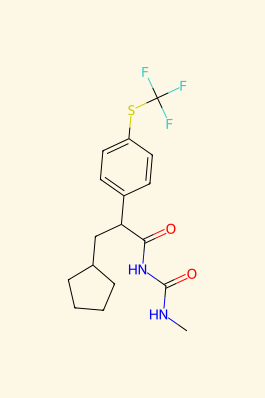 CNC(=O)NC(=O)C(CC1CCCC1)c1ccc(SC(F)(F)F)cc1